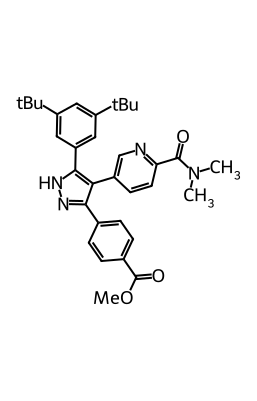 COC(=O)c1ccc(-c2n[nH]c(-c3cc(C(C)(C)C)cc(C(C)(C)C)c3)c2-c2ccc(C(=O)N(C)C)nc2)cc1